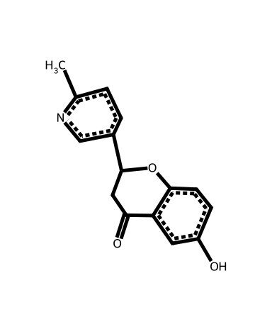 Cc1ccc(C2CC(=O)c3cc(O)ccc3O2)cn1